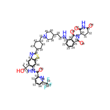 CC(C)(O)c1cc2nc(C3CCC(CN4CCC(CCNc5cccc6c5C(=O)N(C5CCC(=O)NC5=O)C6=O)CC4)CC3)sc2cc1NC(=O)c1cccc(C(F)(F)F)n1